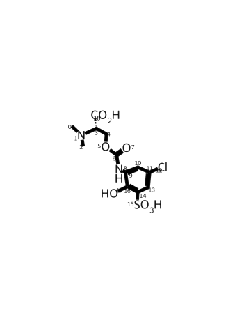 CN(C)[C@@H](COC(=O)Nc1cc(Cl)cc(S(=O)(=O)O)c1O)C(=O)O